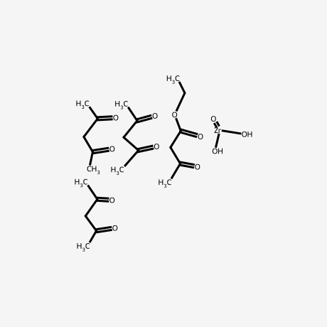 CC(=O)CC(C)=O.CC(=O)CC(C)=O.CC(=O)CC(C)=O.CCOC(=O)CC(C)=O.[O]=[Zr]([OH])[OH]